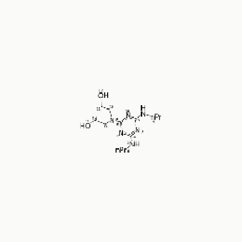 CCCNc1nc(NCCC)nc(N(CCO)CCO)n1